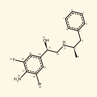 C[C@H](Cc1ccccc1)NC[C@H](O)c1cc(F)c(N)c(Br)c1